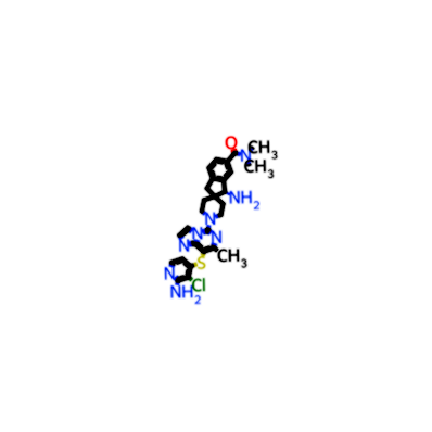 Cc1nc(N2CCC3(CC2)Cc2ccc(C(=O)N(C)C)cc2[C@H]3N)n2ccnc2c1Sc1ccnc(N)c1Cl